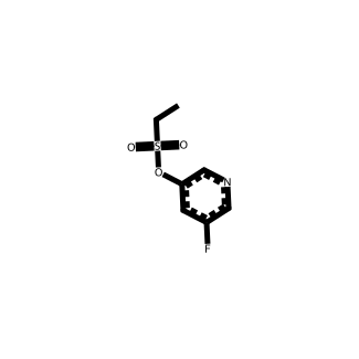 CCS(=O)(=O)Oc1cncc(F)c1